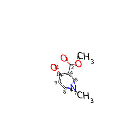 COC(=O)c1cn(C)ccc1=O